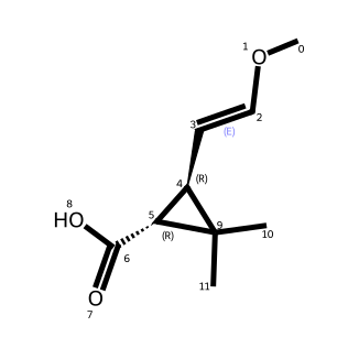 CO/C=C/[C@@H]1[C@@H](C(=O)O)C1(C)C